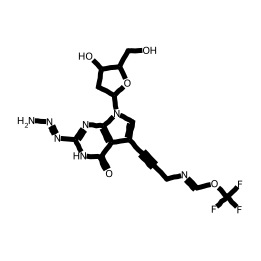 NN=Nc1nc2c(c(C#CCN=COC(F)(F)F)cn2C2CC(O)C(CO)O2)c(=O)[nH]1